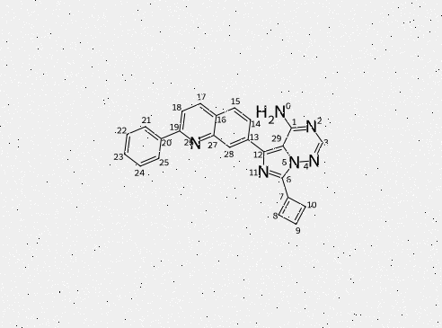 Nc1ncnn2c(C3=CC=C3)nc(-c3ccc4ccc(-c5ccccc5)nc4c3)c12